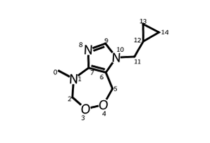 CN1COOCc2c1ncn2CC1CC1